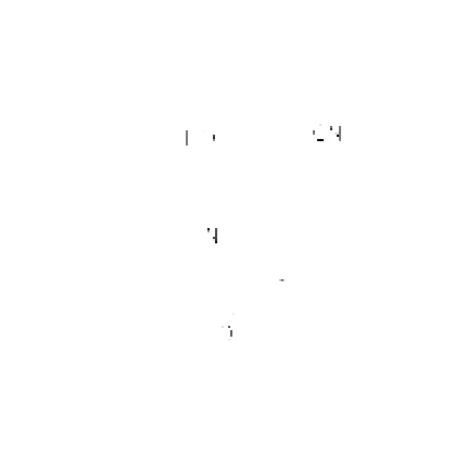 C=CCn1c(O)c(C#N)c(C)cc1=O